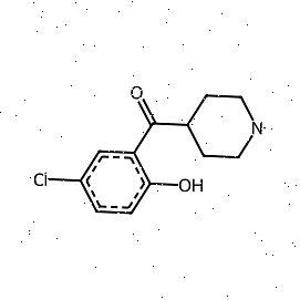 O=C(c1cc(Cl)ccc1O)C1CC[N]CC1